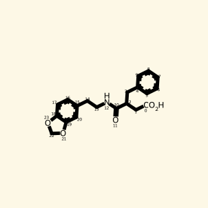 O=C(O)CC(Cc1ccccc1)C(=O)NCCc1ccc2c(c1)OCO2